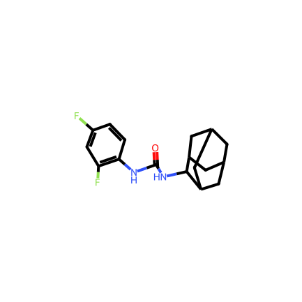 O=C(Nc1ccc(F)cc1F)NC1C2CC3CC(C2)CC1C3